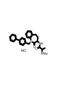 CNC(C)C(=O)NC1CCc2ccccc2N(Cc2ccc(-c3ccccc3)cc2)C1=O.Cl